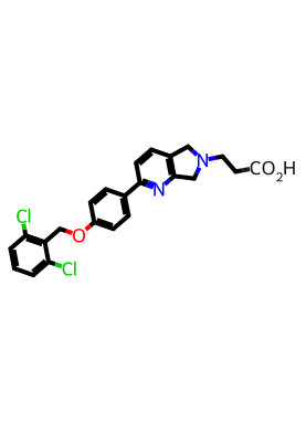 O=C(O)CCN1Cc2ccc(-c3ccc(OCc4c(Cl)cccc4Cl)cc3)nc2C1